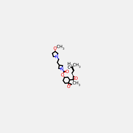 CO[C@@H]1CCN(CCC2CN(C(=O)OC3CCC4(CO4)C([C@@]4(C)O[C@@H]4CC=C(C)C)C3)C2)C1